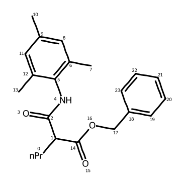 CCCC(C(=O)Nc1c(C)cc(C)cc1C)C(=O)OCc1ccccc1